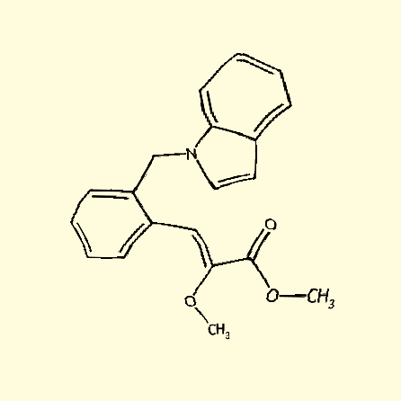 COC(=O)C(=Cc1ccccc1Cn1ccc2ccccc21)OC